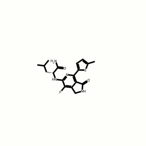 Cc1ccc(-c2nc(N[C@H](CC(C)C)C(N)=O)c(F)c3c2C(=O)NC3)s1